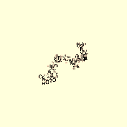 O=C1CC[C@H](c2coc3ccc4cc(NC(=O)CN5CCN(CC6CCC(n7cc(NC(=O)c8cnn9ccc(N%10C[C@@H]%11OCC%11%10)nc89)c(C(F)F)n7)CC6)CC5)ccc4c23)C(=O)N1